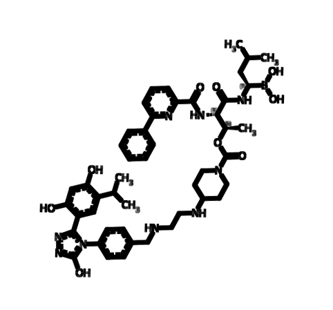 CC(C)C[C@H](NC(=O)[C@@H](NC(=O)c1cccc(-c2ccccc2)n1)[C@@H](C)OC(=O)N1CCC(NCCNCc2ccc(-n3c(O)nnc3-c3cc(C(C)C)c(O)cc3O)cc2)CC1)B(O)O